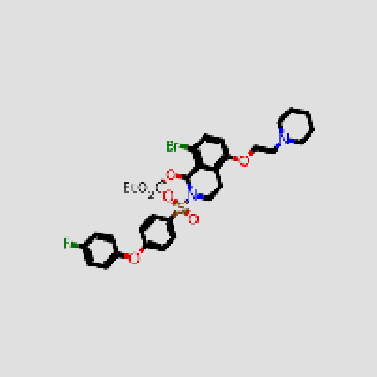 CCOC(=O)OC1c2c(Br)ccc(OCCN3CCCCC3)c2CCN1S(=O)(=O)c1ccc(Oc2ccc(F)cc2)cc1